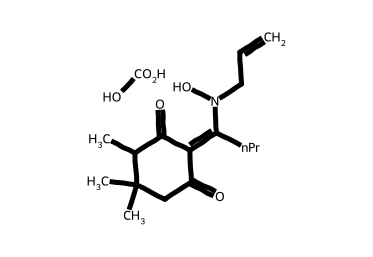 C=CCN(O)C(CCC)=C1C(=O)CC(C)(C)C(C)C1=O.O=C(O)O